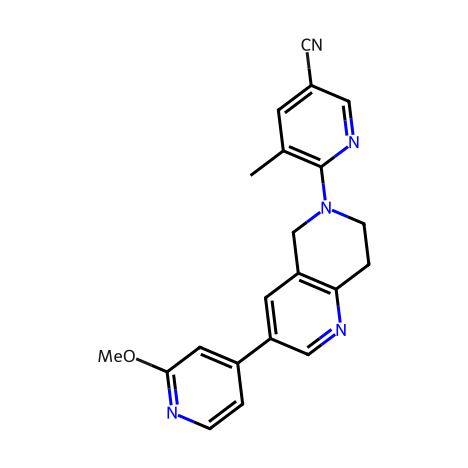 COc1cc(-c2cnc3c(c2)CN(c2ncc(C#N)cc2C)CC3)ccn1